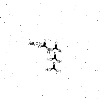 Cl.O.O=C(O)O.O=C(O)O.O=C(O)O.O=C(O)O.[Ta]